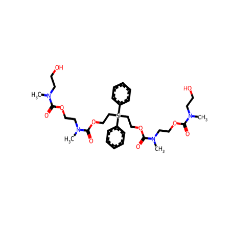 CN(CCO)C(=O)OCCN(C)C(=O)OCC[Si](CCOC(=O)N(C)CCOC(=O)N(C)CCO)(c1ccccc1)c1ccccc1